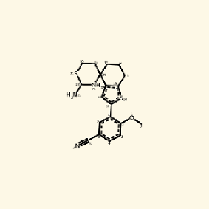 COc1ccc(C#N)cc1-c1cc2c(s1)CCCC21CCSC(N)N1